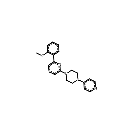 CSc1ccccc1-c1cncc(N2CCN(c3ccncc3)CC2)n1